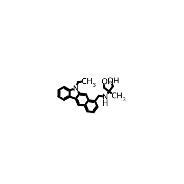 CCn1c2ccccc2c2cc3cccc(CNC(C)(CO)CO)c3cc21